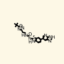 CC(C)(C)c1nc(CCNC(=O)Nc2nc3ccc(-c4cnc5[nH]cnc5c4)cc3s2)no1